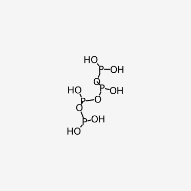 OP(O)OP(O)OP(O)OP(O)O